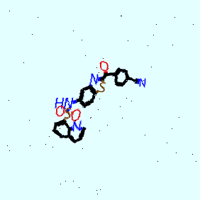 N#Cc1ccc(C(=O)c2nc3cc(NS(=O)(=O)c4cccc5cccnc45)ccc3s2)cc1